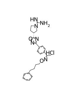 CC(=NOCCCCc1ccccc1)c1ccc(-c2noc([C@@H]3CCN(C(=N)N)C3)n2)cc1.Cl